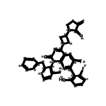 C=C1CCN(C2CN(c3nc(=O)n(-c4c(C)ccnc4Cc4ccccc4)c4nc(-c5c(O)cccc5F)c(F)cc34)C2)C1=O